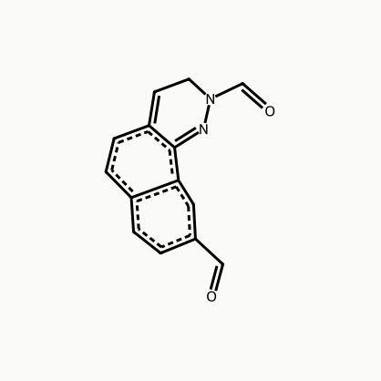 O=Cc1ccc2ccc3c(c2c1)=NN(C=O)CC=3